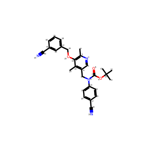 Cc1ncc(CN(C(=O)OC(C)(C)C)c2ccc(C#N)cc2)c(C)c1OCc1cccc(C#N)c1